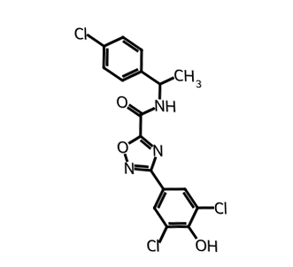 CC(NC(=O)c1nc(-c2cc(Cl)c(O)c(Cl)c2)no1)c1ccc(Cl)cc1